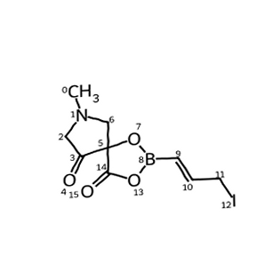 CN1CC(=O)C2(C1)OB(/C=C/CI)OC2=O